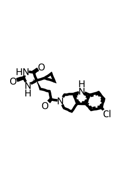 O=C1NC(=O)[C@](CCC(=O)N2CCc3c([nH]c4ccc(Cl)cc34)C2)(C2CC2)N1